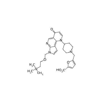 C[Si](C)(C)CCOCn1ccc2c1ncc1c(=O)ccn(C3CCN(Cc4ccc(C(=O)O)o4)CC3)c12